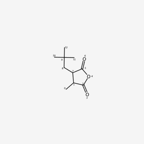 CC1C(=O)OC(=O)C1CC(C)(C)C